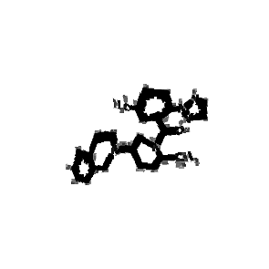 Cc1ccc(-n2nccn2)c(C(=O)N2CC(N3C=Cc4ccccc4C3)CCC2C)c1